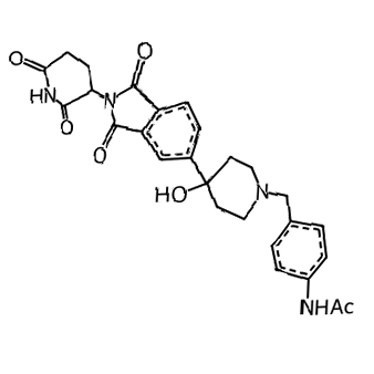 CC(=O)Nc1ccc(CN2CCC(O)(c3ccc4c(c3)C(=O)N(C3CCC(=O)NC3=O)C4=O)CC2)cc1